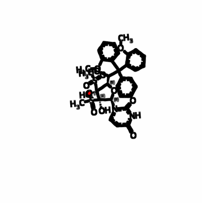 COc1ccccc1C(c1ccccc1)(c1ccccc1OC)C(O)[C@H]1O[C@@H](n2ccc(=O)[nH]c2=O)[C@@](O)(S(C)(=O)=O)[C@@]1(O)S(C)(=O)=O